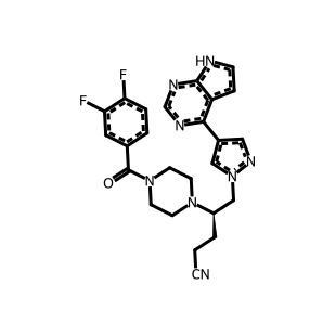 N#CCC[C@H](Cn1cc(-c2ncnc3[nH]ccc23)cn1)N1CCN(C(=O)c2ccc(F)c(F)c2)CC1